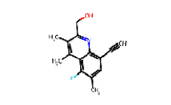 C#Cc1cc(C)c(F)c2c(C)c(C)c(CO)nc12